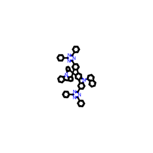 c1ccc(-c2nc(-c3ccccc3)nc(-c3ccc4c(c3)C3(c5cc6c7cc(-c8nc(-c9ccccc9)nc(-c9ccccc9)n8)ccc7n(-c7cccc8ccccc78)c6cc5-4)c4ccccc4-n4c5ccccc5c5cccc3c54)n2)cc1